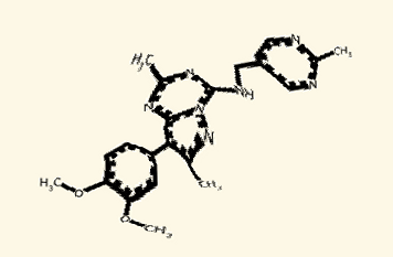 COc1ccc(-c2c(C)nn3c(NCc4cnc(C)nc4)nc(C)nc23)cc1OC